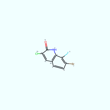 O=c1[nH]c2c(F)c(Br)ccc2cc1Cl